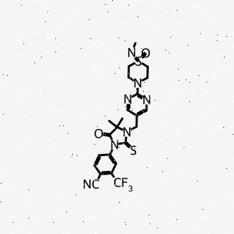 CN=S1(=O)CCN(c2ncc(CN3C(=S)N(c4ccc(C#N)c(C(F)(F)F)c4)C(=O)C3(C)C)cn2)CC1